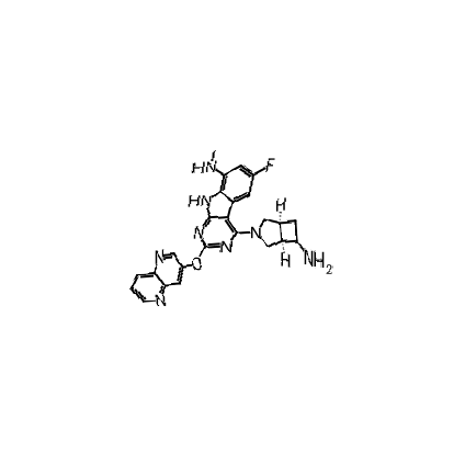 CNc1cc(F)cc2c1[nH]c1nc(Oc3cnc4cccnc4c3)nc(N3C[C@H]4C[C@@H](N)[C@H]4C3)c12